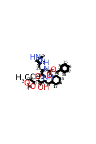 CC1(C)OCO[C@H]1C[C@H](O)[C@H](CC1CCCCC1)NC(=O)[C@H](Cc1c[nH]cn1)NC(=O)OCc1ccccc1